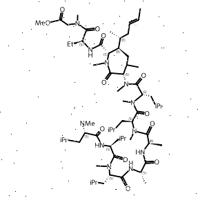 C/C=C/C[C@@H](C)[C@H]1CC(C)[C@H](N(C)C(=O)[C@H](CC(C)C)N(C)C(=O)[C@H](CC(C)C)N(C)C(=O)[C@@H](C)NC(=O)[C@H](C)NC(=O)[C@H](CC(C)C)N(C)C(=O)[C@@H](NC(=O)[C@H](CC(C)C)NC)C(C)C)C(=O)N(C)[C@@H]1C(=O)N[C@@H](CC)C(=O)N(C)CC(=O)OC